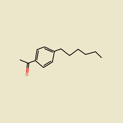 [CH2]CCCCCc1ccc(C(C)=O)cc1